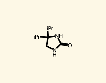 CC(C)C1(C(C)C)CNC(=O)N1